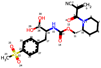 C=C(C#N)C(=O)N1CCCC[C@@H]1COC(=O)N[C@@H](Cc1ccc(S(C)(=O)=O)cc1)B(O)O